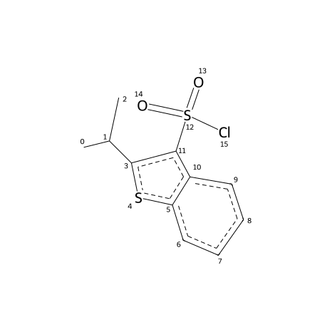 CC(C)c1sc2ccccc2c1S(=O)(=O)Cl